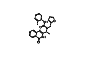 Cc1ccccc1NC(=O)N(Cc1ccco1)C(C)c1nc2ccccc2c(=O)[nH]1